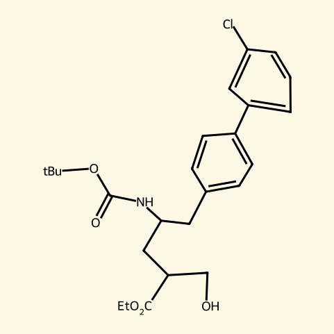 CCOC(=O)C(CO)CC(Cc1ccc(-c2cccc(Cl)c2)cc1)NC(=O)OC(C)(C)C